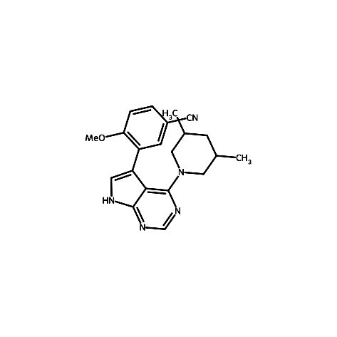 COc1ccc(C#N)cc1-c1c[nH]c2ncnc(N3CC(C)CC(C)C3)c12